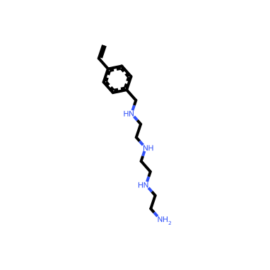 C=Cc1ccc(CNCCNCCNCCN)cc1